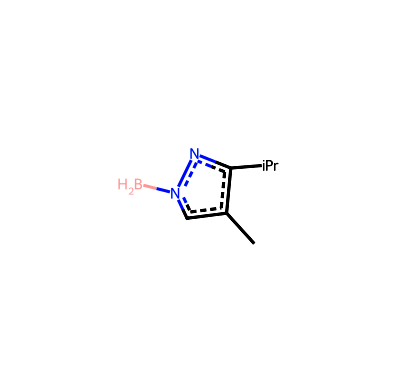 Bn1cc(C)c(C(C)C)n1